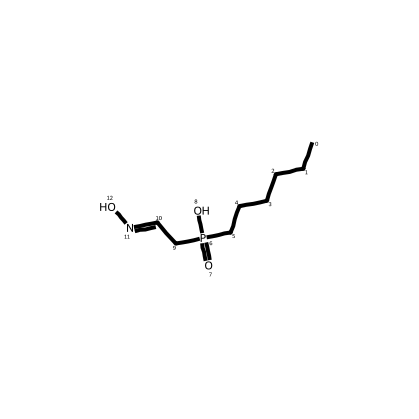 CCCCCCP(=O)(O)CC=NO